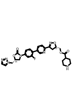 O=C(OC[C@@H]1CC(c2ccc(-c3ccc(N4C[C@H](Cn5ccnn5)OC4=O)cc3F)cn2)=NO1)C1CCNCC1